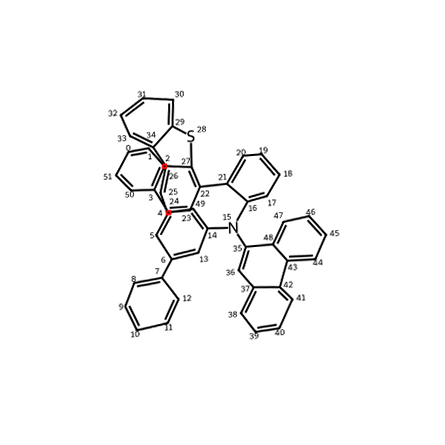 c1ccc(-c2cc(-c3ccccc3)cc(N(c3ccccc3-c3cccc4c3sc3ccccc34)c3cc4ccccc4c4ccccc34)c2)cc1